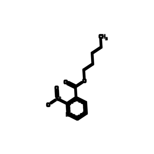 CCCCCOC(=O)c1cccnc1[N+](=O)[O-]